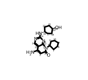 Nc1cc(=O)n(C2CCCCC2)c2nc(N[C@H]3CC[C@H](O)CC3)ncc12